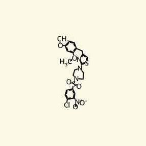 COc1ccc(Cc2csc(N3CCN(S(=O)(=O)c4ccc(Cl)c([N+](=O)[O-])c4)CC3)n2)c(OC)c1